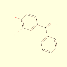 C=C(c1ccccc1)c1ccc(O)c(C)c1